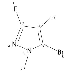 Cc1c(F)nn(C)c1Br